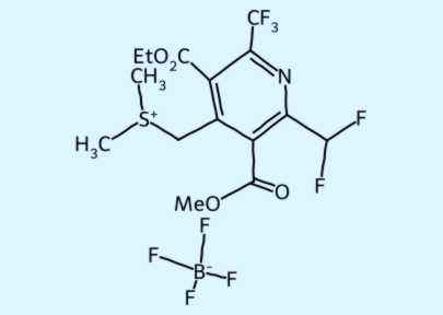 CCOC(=O)c1c(C(F)(F)F)nc(C(F)F)c(C(=O)OC)c1C[S+](C)C.F[B-](F)(F)F